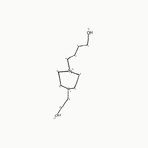 OCCCCN1CCN(CCO)CC1